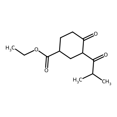 CCOC(=O)C1CCC(=O)C(C(=O)C(C)C)C1